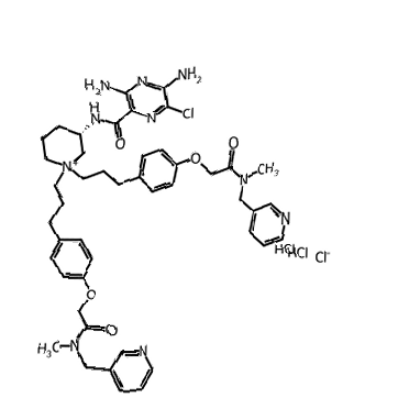 CN(Cc1cccnc1)C(=O)COc1ccc(CCC[N+]2(CCCc3ccc(OCC(=O)N(C)Cc4cccnc4)cc3)CCC[C@H](NC(=O)c3nc(Cl)c(N)nc3N)C2)cc1.Cl.Cl.[Cl-]